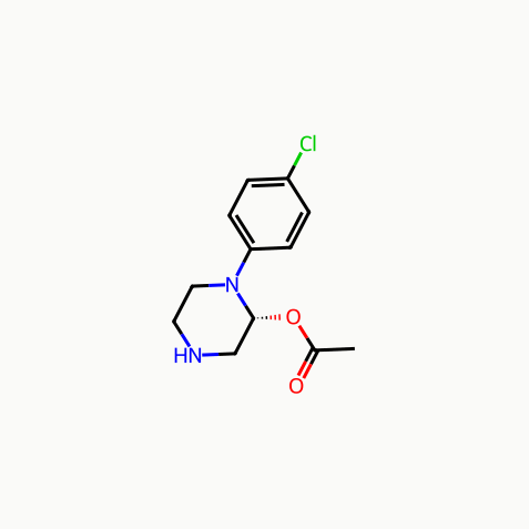 CC(=O)O[C@@H]1CNCCN1c1ccc(Cl)cc1